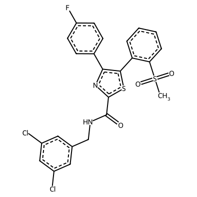 CS(=O)(=O)c1ccccc1-c1sc(C(=O)NCc2cc(Cl)cc(Cl)c2)nc1-c1ccc(F)cc1